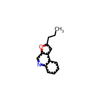 CCCc1cc2c(cnc3ccccc32)o1